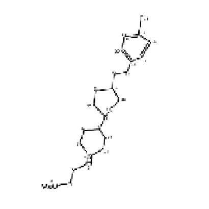 COCCC[SiH]1CCC(C2CCC(CCc3ccc(F)cc3)CC2)CC1